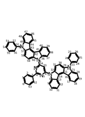 c1ccc(-c2nc(-n3c4ccccc4c4c5c6ccccc6n(-c6ccccc6)c5ccc43)cc(-n3c4ccccc4c4c5c6ccccc6n(-c6ccccc6)c5ccc43)n2)cc1